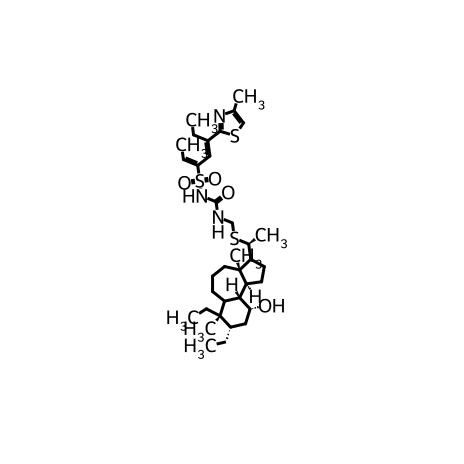 C/C=C(\C=C(/CC)c1nc(C)cs1)S(=O)(=O)NC(=O)NCS[C@@H](C)C1CC[C@H]2[C@H]3C(CCC[C@]12C)[C@@](C)(CC)[C@@H](CC)C[C@H]3O